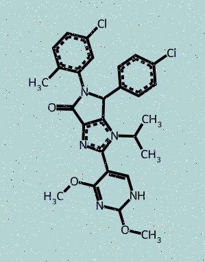 COC1=NC(OC)NC=C1c1nc2c(n1C(C)C)C(c1ccc(Cl)cc1)N(c1cc(Cl)ccc1C)C2=O